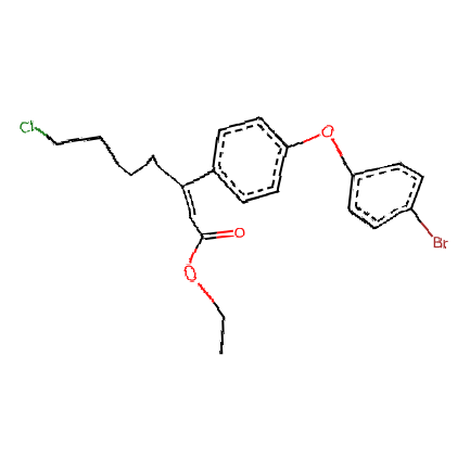 CCOC(=O)/C=C(/CCCCCl)c1ccc(Oc2ccc(Br)cc2)cc1